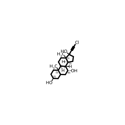 C[C@]12CC[C@H](O)CC1C[C@@H](O)[C@@H]1[C@@H]2CC[C@@]2(C)[C@H]1CC[C@@]2(O)C#CCl